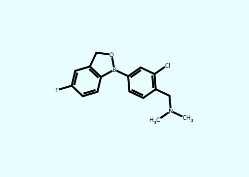 CN(C)Cc1ccc(B2OCc3cc(F)ccc32)cc1Cl